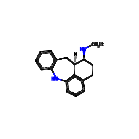 CCOC(=O)N[C@H]1CCc2cccc3c2[C@H]1Cc1ccccc1N3